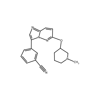 CN1CCCC(Oc2ccc3ncc(-c4cccc(C#N)c4)n3n2)C1